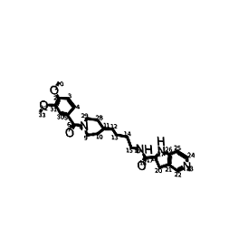 COc1ccc(C(=O)N2CCC(CCCCNC(=O)C3Cc4cnccc4N3)CC2)cc1OC